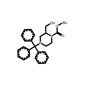 CC(C)(C)OC(=O)N1CCN(C(c2ccccc2)(c2ccccc2)c2ccccc2)CC1CO